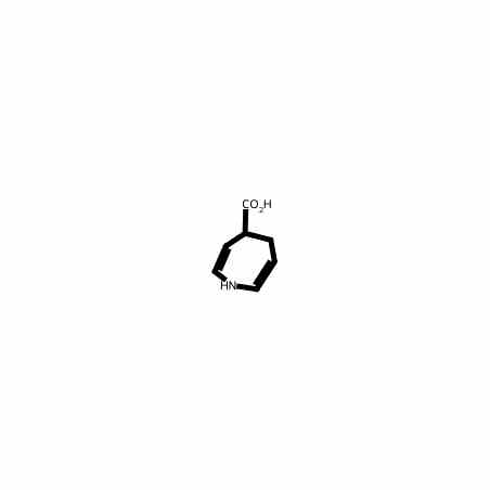 O=C(O)C1C=CNC=CC1